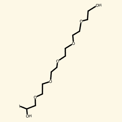 OCCOCCOCCOCCOCCOCC(O)I